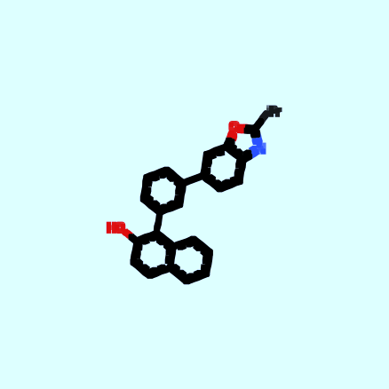 CC(C)c1nc2ccc(-c3cccc(-c4c(O)ccc5ccccc45)c3)cc2o1